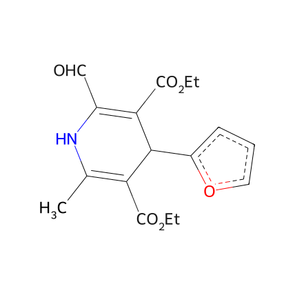 CCOC(=O)C1=C(C)NC(C=O)=C(C(=O)OCC)C1c1ccco1